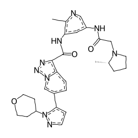 Cc1ncc(NC(=O)CN2CCC[C@@H]2C)cc1NC(=O)c1nnn2cc(-c3ccnn3C3CCOCC3)ccc12